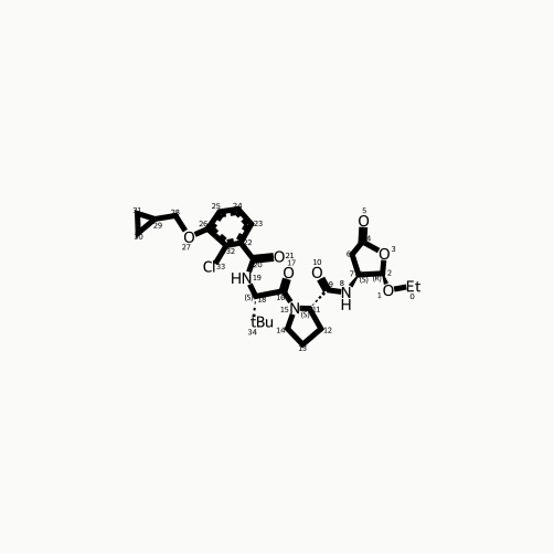 CCO[C@@H]1OC(=O)C[C@@H]1NC(=O)[C@@H]1CCCN1C(=O)[C@@H](NC(=O)c1cccc(OCC2CC2)c1Cl)C(C)(C)C